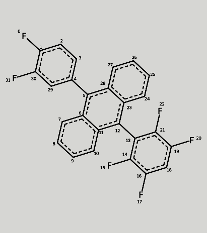 Fc1ccc(-c2c3ccccc3c(-c3c(F)c(F)cc(F)c3F)c3ccccc23)cc1F